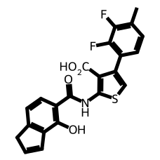 Cc1ccc(-c2csc(NC(=O)c3ccc4c(c3O)C=CC4)c2C(=O)O)c(F)c1F